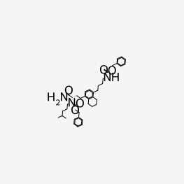 CC(C)CCCN(C(=O)OCc1ccccc1)[C@@H](CCc1ccc(CCCCNC(=O)OCc2ccccc2)c2c1CCCC2)C(N)=O